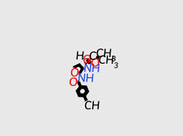 C#Cc1ccc(C(=O)NC2OCCC2NC(=O)OC(C)(C)C)cc1